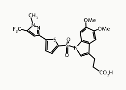 COc1cc2c(CCC(=O)O)cn(S(=O)(=O)c3ccc(-c4cc(C(F)(F)F)n(C)n4)s3)c2cc1OC